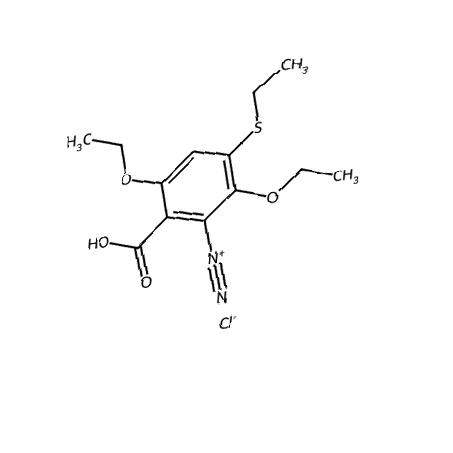 CCOc1cc(SCC)c(OCC)c([N+]#N)c1C(=O)O.[Cl-]